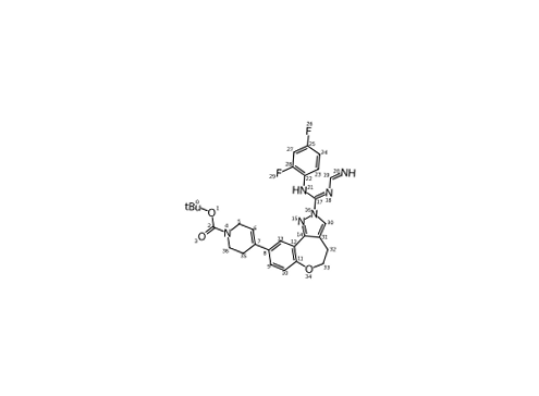 CC(C)(C)OC(=O)N1CC=C(c2ccc3c(c2)-c2nn(/C(=N/C=N)Nc4ccc(F)cc4F)cc2CCO3)CC1